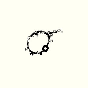 C=C1NCC(C)(C)CNCCCOc2ccc(c(F)c2)CNc2cc(nc(OCC(F)(F)F)n2)Nc2ccc1cc2